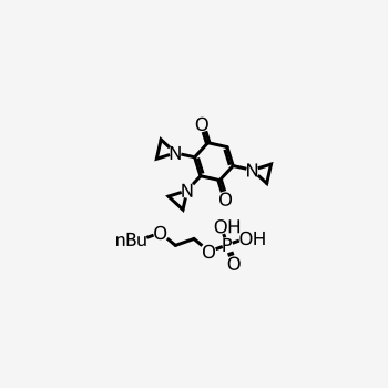 CCCCOCCOP(=O)(O)O.O=C1C=C(N2CC2)C(=O)C(N2CC2)=C1N1CC1